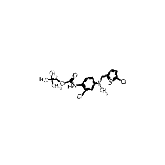 CN(Cc1ccc(Cl)s1)c1ccc(NC(=O)OCC(C)(C)C)c(Cl)c1